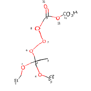 CCOC(C)(OCC)OOOC(=O)OC(=O)O